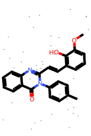 COc1cccc(C=Cc2nc3ccccc3c(=O)n2-c2ccc(C)cc2)c1O